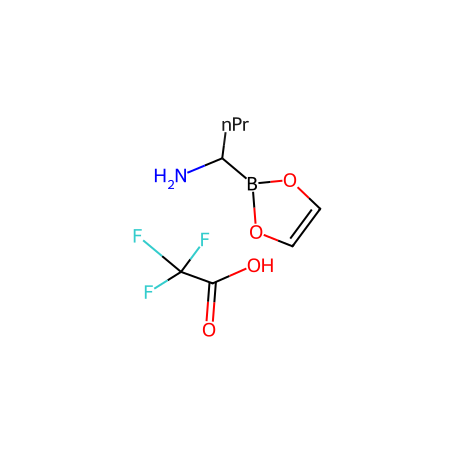 CCCC(N)B1OC=CO1.O=C(O)C(F)(F)F